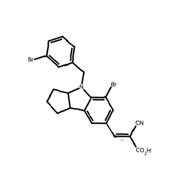 N#C/C(=C\c1cc(Br)c2c(c1)C1CCCC1N2Cc1cccc(Br)c1)C(=O)O